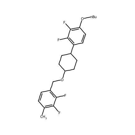 CCCCOc1ccc(C2CCC(OCc3ccc(C)c(F)c3F)CC2)c(F)c1F